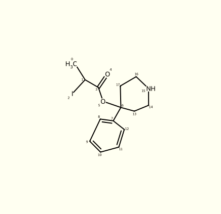 CC(I)C(=O)OC1(c2ccccc2)CCNCC1